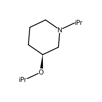 CC(C)O[C@H]1CCCN(C(C)C)C1